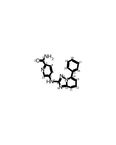 NC(=O)c1ccc(Nc2nc3cccc(-c4ccccc4)n3n2)cn1